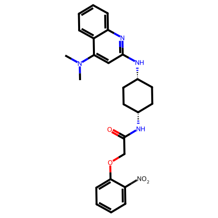 CN(C)c1cc(N[C@H]2CC[C@@H](NC(=O)COc3ccccc3[N+](=O)[O-])CC2)nc2ccccc12